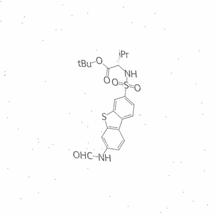 CC(C)[C@H](NS(=O)(=O)c1ccc2c(c1)sc1cc(NC=O)ccc12)C(=O)OC(C)(C)C